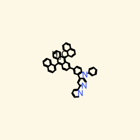 CC12C=CC=CC1=CC=CC2c1c2ccccc2c(-c2cccc3ccccc23)c2ccc(-c3ccc4c(c3)c3cc(-c5ccccn5)ncc3n4-c3ccccc3)cc12